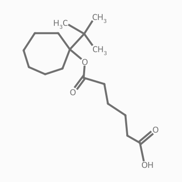 CC(C)(C)C1(OC(=O)CCCCC(=O)O)CCCCCC1